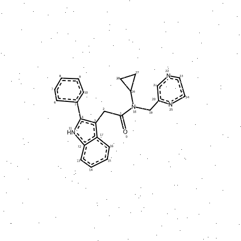 O=C(Cc1c(-c2ccccc2)[nH]c2ccccc12)N(Cc1cnccn1)C1CC1